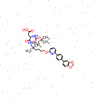 CC(C)(CCCCOc1cccc(-c2ccc(-c3ccc4c(c3)OCO4)cc2)n1)CNC(=O)C(CC(=O)O)NC(=O)OC(C)(C)C